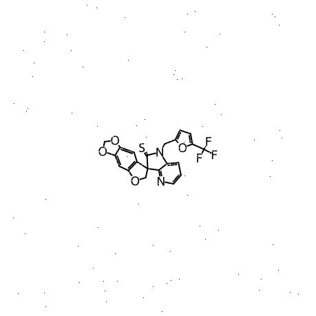 FC(F)(F)c1ccc(CN2C(=S)C3(COc4cc5c(cc43)OCO5)c3ncccc32)o1